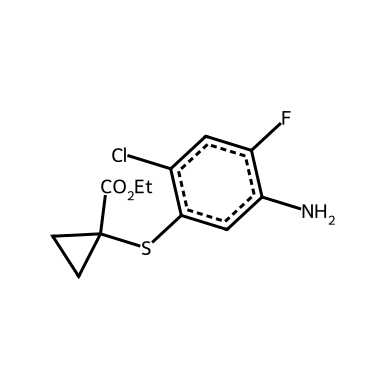 CCOC(=O)C1(Sc2cc(N)c(F)cc2Cl)CC1